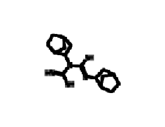 N=C(S)N(C(S)=NC1CC2CCC1C2)C1CC2CCC1C2